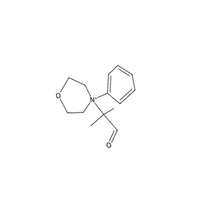 CC(C)(C=O)[N+]1(c2ccccc2)CCOCC1